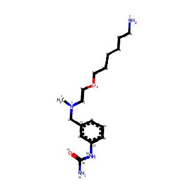 CN(CCOCCCCCCN)Cc1cccc(NC(N)=O)c1